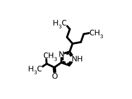 CCCC(CCC)c1nc(C(=O)C(C)C)c[nH]1